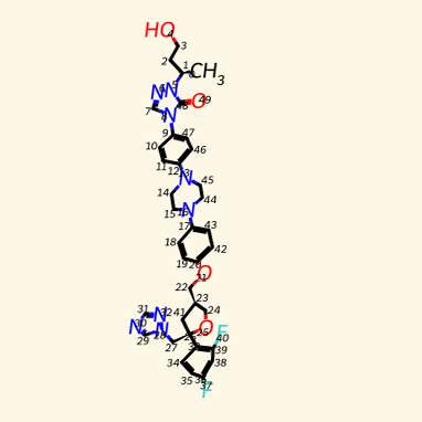 C[C@H](CCO)n1ncn(-c2ccc(N3CCN(c4ccc(OC[C@H]5CO[C@](Cn6cncn6)(c6ccc(F)cc6F)C5)cc4)CC3)cc2)c1=O